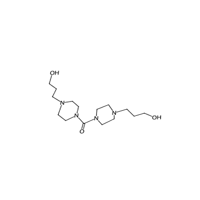 O=C(N1CCN(CCCO)CC1)N1CCN(CCCO)CC1